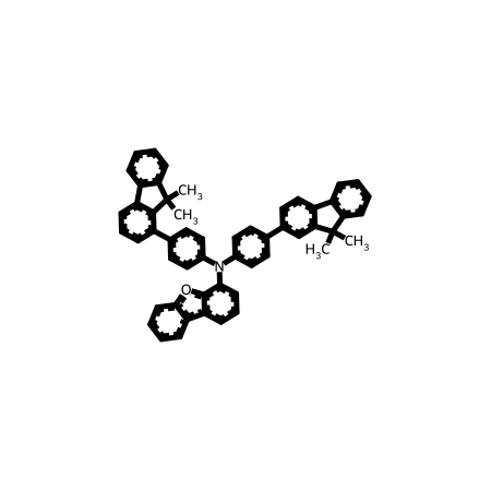 CC1(C)c2ccccc2-c2ccc(-c3ccc(N(c4ccc(-c5cccc6c5C(C)(C)c5ccccc5-6)cc4)c4cccc5c4oc4ccccc45)cc3)cc21